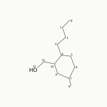 [CH2]CCCC1CCC(C)CC1CO